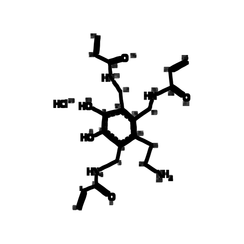 C=CC(=O)NCc1c(O)c(O)c(CNC(=O)C=C)c(CNC(=O)C=C)c1CCN.Cl